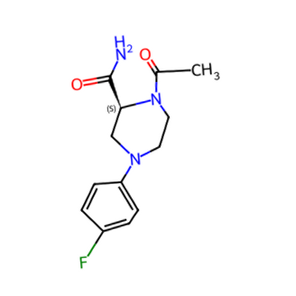 CC(=O)N1CCN(c2ccc(F)cc2)C[C@H]1C(N)=O